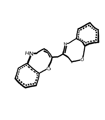 [C]1Oc2ccccc2N=C1C1=CNc2ccccc2O1